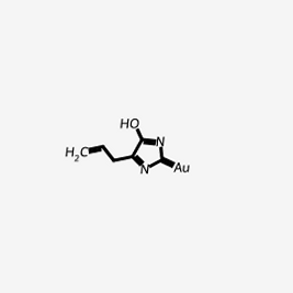 C=CCC1=N[C](=[Au])N=C1O